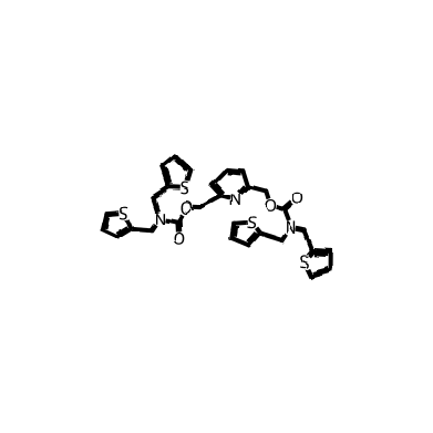 O=C(OCc1cccc(COC(=O)N(Cc2cccs2)Cc2cccs2)n1)N(Cc1cccs1)Cc1cccs1